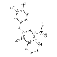 O=c1c(Cc2ccc(Cl)c(Cl)c2)cc([N+](=O)[O-])c2n1CCCN2